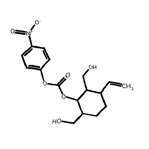 C=CC1CCC(CO)C(OC(=O)Oc2ccc([N+](=O)[O-])cc2)C1CO